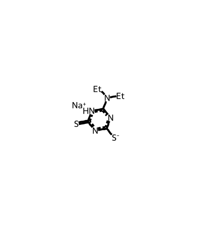 CCN(CC)c1nc([S-])nc(=S)[nH]1.[Na+]